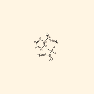 CC(C)(C)C(=O)C#N.N#CC(=O)c1ccccc1